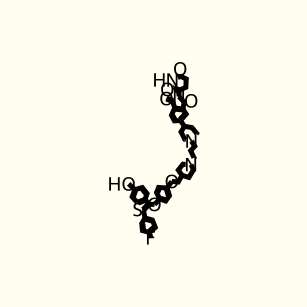 O=C1CCC(N2C(=O)c3ccc(C4CCN(CCCN5CCC(COc6ccc(Oc7c(-c8ccc(F)cc8)sc8cc(O)ccc78)cc6)CC5)CC4)cc3C2=O)C(=O)N1